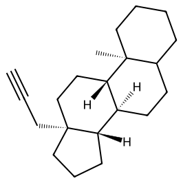 C#CC[C@@]12CCC[C@H]1[C@@H]1CCC3CCCC[C@]3(C)[C@H]1CC2